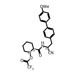 COc1ccc(-c2ccc(C[C@@H](C#N)NC(=O)[C@@H]3CCCCN3OC(=O)C(F)(F)F)cc2)cc1